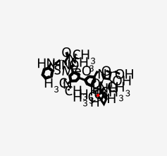 COc1c(CN2O[C@@H](CO)[C@@H]([C@H](C)O)[C@H]2C(=O)N[C@H]2C[C@H]3C[C@@H]([C@@H]2C)C3(C)C)cccc1-c1cc(C(=O)N[C@H](CC2Nc3ccccc3S2)C(=O)N(C)C)cc(N(C)C)c1